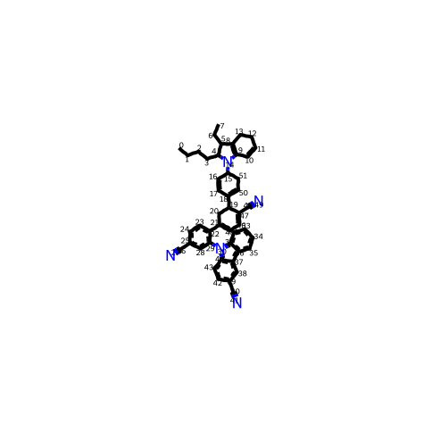 CCCCC1C(CC)C2=C(C=CCC2)N1C1C=CC(C2CC(c3ccc(C#N)cc3-n3c4ccccc4c4cc(C#N)ccc43)=CC=C2C#N)=CC1